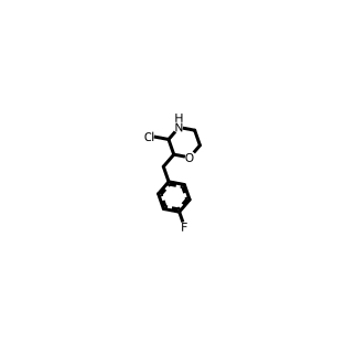 Fc1ccc(CC2OCCNC2Cl)cc1